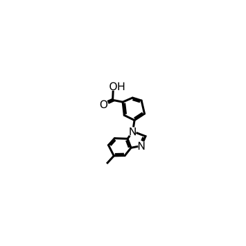 Cc1ccc2c(c1)ncn2-c1cccc(C(=O)O)c1